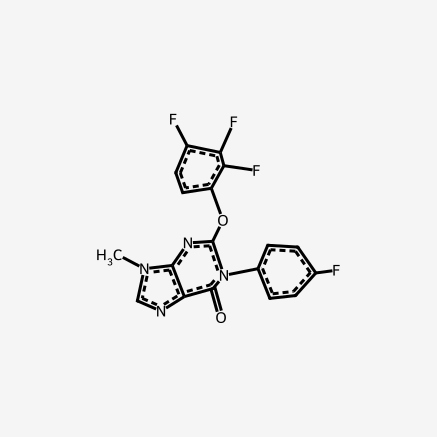 Cn1cnc2c(=O)n(-c3ccc(F)cc3)c(Oc3ccc(F)c(F)c3F)nc21